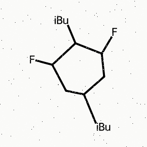 CCC(C)C1CC(F)C(C(C)CC)C(F)C1